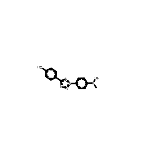 CB(O)c1ccc(-n2nnc(-c3ccc(O)cc3)n2)cc1